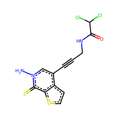 Nn1cc(C#CCNC(=O)C(Cl)Cl)c2ccsc2c1=S